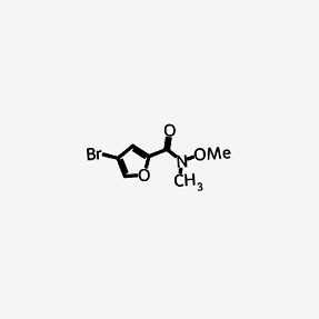 CON(C)C(=O)c1cc(Br)co1